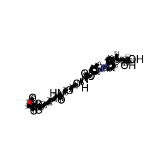 C=C1CC[C@H](OC(=O)NCCOCCOCCNC(=O)CCCCCCC(=O)ON2C(=O)CCC2=O)C/C1=C/C=C1\CCC[C@@]2(C)C1CC[C@@H]2C(C)CC[C@@H](O)C(C)(C)O